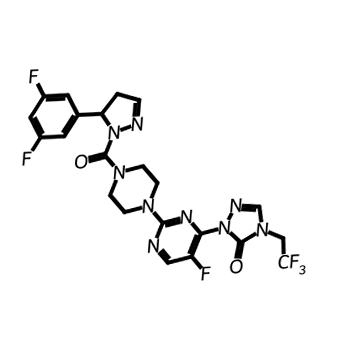 O=C(N1CCN(c2ncc(F)c(-n3ncn(CC(F)(F)F)c3=O)n2)CC1)N1N=CCC1c1cc(F)cc(F)c1